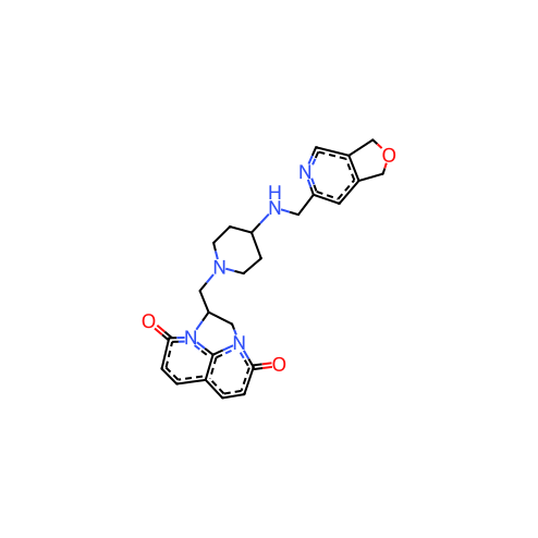 O=c1ccc2ccc(=O)n3c2n1CC3CN1CCC(NCc2cc3c(cn2)COC3)CC1